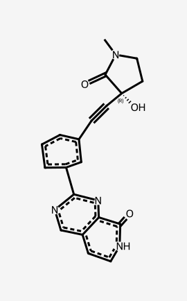 CN1CC[C@@](O)(C#Cc2cccc(-c3ncc4cc[nH]c(=O)c4n3)c2)C1=O